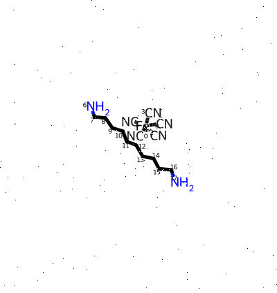 N#[C][Fe]([C]#N)([C]#N)([C]#N)[C]#N.NCCCCCCCCCCN